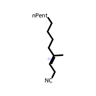 CCCCCCCCC/C(C)=C/CC#N